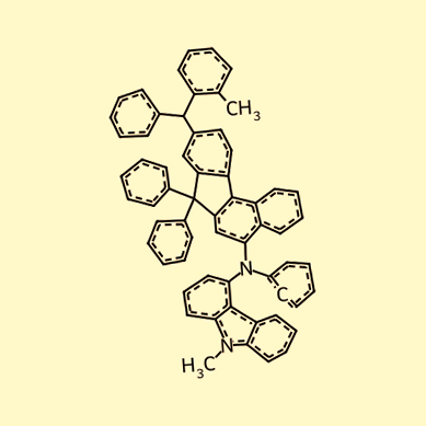 Cc1ccccc1C(c1ccccc1)c1ccc2c(c1)C(c1ccccc1)(c1ccccc1)c1cc(N(c3ccccc3)c3cccc4c3c3ccccc3n4C)c3ccccc3c1-2